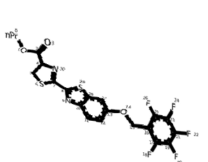 CCCOC(=O)C1CSC(c2nc3ccc(OCc4c(F)c(F)c(F)c(F)c4F)cc3s2)=N1